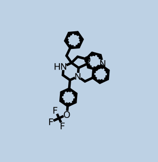 O=CC1N(Cc2ccccc2)C(c2ccc(OC(F)(F)F)cc2)CNC1(Cc1ccccc1)Cc1ccncc1